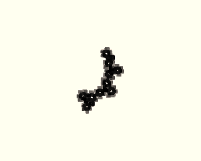 c1ccc2c(c1)Oc1cc(-c3ccc(-n4c5ccccc5c5cc(-c6ccc7c(c6)c6ccccc6n7-c6ccc7c(c6)oc6ccccc67)ccc54)cc3)cc3c4ccccc4n-2c13